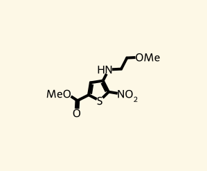 COCCNc1cc(C(=O)OC)sc1[N+](=O)[O-]